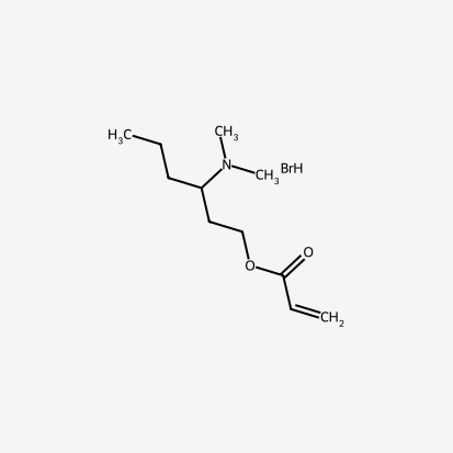 Br.C=CC(=O)OCCC(CCC)N(C)C